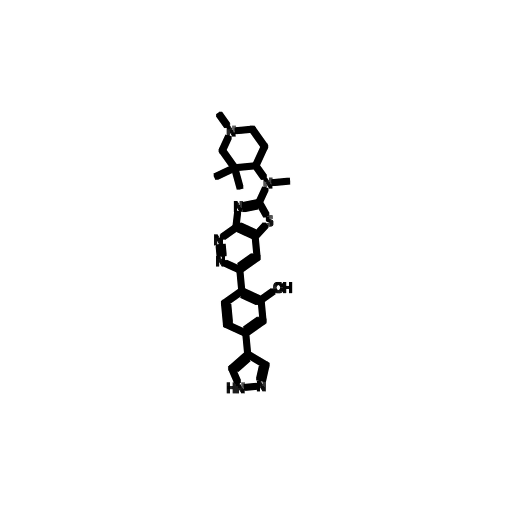 CN1CCC(N(C)c2nc3nnc(-c4ccc(-c5cn[nH]c5)cc4O)cc3s2)C(C)(C)C1